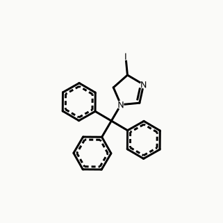 IC1CN(C(c2ccccc2)(c2ccccc2)c2ccccc2)C=N1